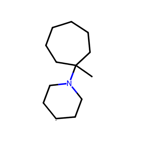 CC1(N2CC[CH]CC2)CCCCCC1